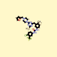 Cc1nc(Cc2cc(NC(=O)Nc3ccc(Cl)c(C(F)(F)F)c3)ccc2C)nc(N2CCN(Cc3ccco3)CC2)n1